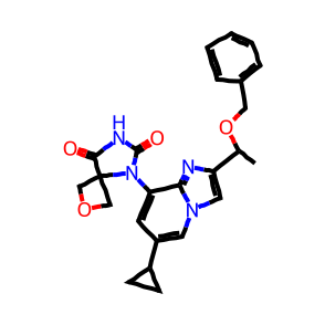 CC(OCc1ccccc1)c1cn2cc(C3CC3)cc(N3C(=O)NC(=O)C34COC4)c2n1